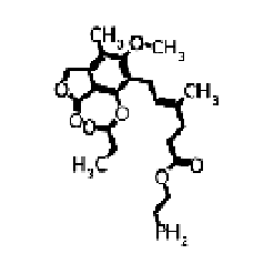 CCC(=O)Oc1c(C/C=C(\C)CCC(=O)OCCP)c(OC)c(C)c2c1C(=O)OC2